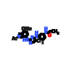 C=CC(=O)Nc1cccc(Nc2nc(Nc3ccc(OC)c4c3CN(C(C)=O)C4)ncc2C(F)(F)F)c1